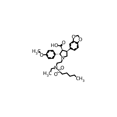 CCCCCS(=O)(=O)N(CC)CCN1C[C@H](c2ccc3c(c2)OCO3)[C@H](C(=O)O)[C@H]1c1ccc(OC)cc1